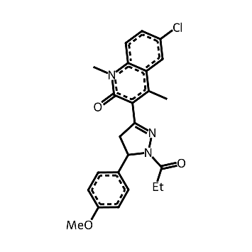 CCC(=O)N1N=C(c2c(C)c3cc(Cl)ccc3n(C)c2=O)CC1c1ccc(OC)cc1